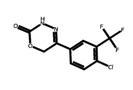 O=C1NN=C(c2ccc(Cl)c(C(F)(F)F)c2)CO1